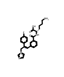 NCCCC[C@H](NC(=O)c1cccc(/C=C(/Cn2ccnc2)c2ccc(F)cc2)c1)C(=O)O